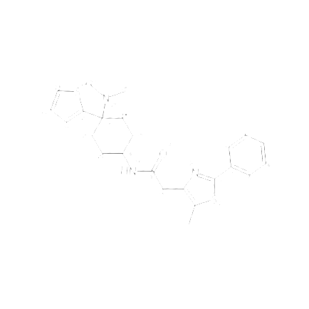 Cc1sc(-c2ccccc2)nc1CC(=O)NC1CCC(c2cccs2)(N(C)C)CC1